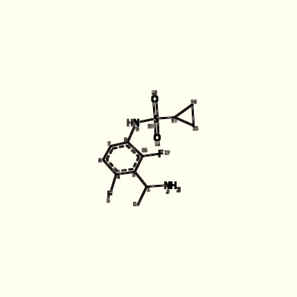 CC(N)c1c(F)ccc(NS(=O)(=O)C2CC2)c1F